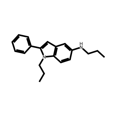 CCCNc1ccc2c(c1)cc(-c1ccccc1)n2CCC